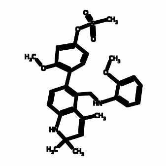 COc1ccccc1NCc1c(-c2ccc(OS(C)(=O)=O)cc2OC)ccc2c1C(C)=CC(C)(C)N2